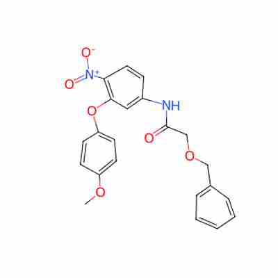 COc1ccc(Oc2cc(NC(=O)COCc3ccccc3)ccc2[N+](=O)[O-])cc1